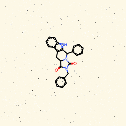 O=C1C2Cc3c([nH]c4ccccc34)C(c3ccccc3)N2C(=O)N1Cc1ccccc1